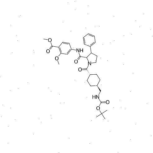 COC(=O)c1ccc(NC(=O)C2C(c3ccccc3)CCN2C(=O)[C@H]2CC[C@H](CNC(=O)OC(C)(C)C)CC2)cc1OC